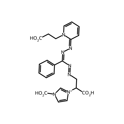 O=C(O)CCn1ccccc1=NN=C(N=NCC(C(=O)O)[n+]1ccn(C(=O)O)c1)c1ccccc1